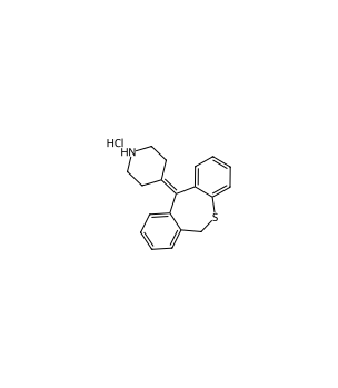 Cl.c1ccc2c(c1)CSc1ccccc1C2=C1CCNCC1